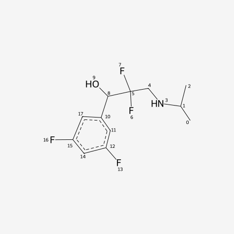 CC(C)NCC(F)(F)C(O)c1cc(F)cc(F)c1